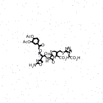 CC(=O)Oc1ccc(C(=O)CO/N=C(\C(=O)N[C@@H]2C(=O)N3C(C(=O)O)=C(CSc4nnnn4CC(=O)O)CS[C@@H]23)c2coc(N)n2)cc1OC(C)=O